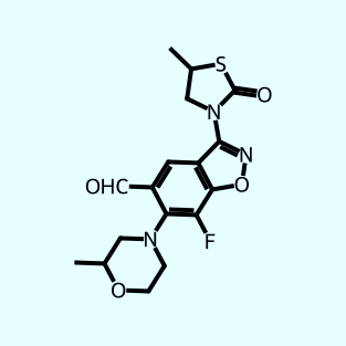 CC1CN(c2c(C=O)cc3c(N4CC(C)SC4=O)noc3c2F)CCO1